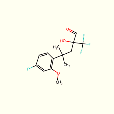 COc1cc(F)ccc1C(C)(C)CC(O)(C=O)C(F)(F)F